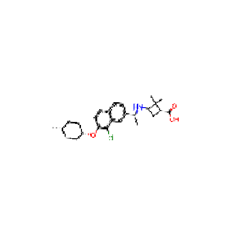 CC(NC1CC(C(=O)O)C1(C)C)c1ccc2ccc(O[C@H]3CC[C@@H](C)CC3)c(Cl)c2c1